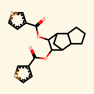 O=C(OC1C2CC(C3CCCC32)C1OC(=O)c1ccsc1)c1ccsc1